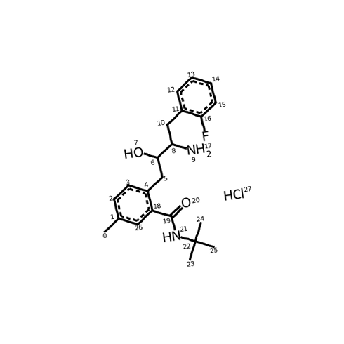 Cc1ccc(CC(O)C(N)Cc2ccccc2F)c(C(=O)NC(C)(C)C)c1.Cl